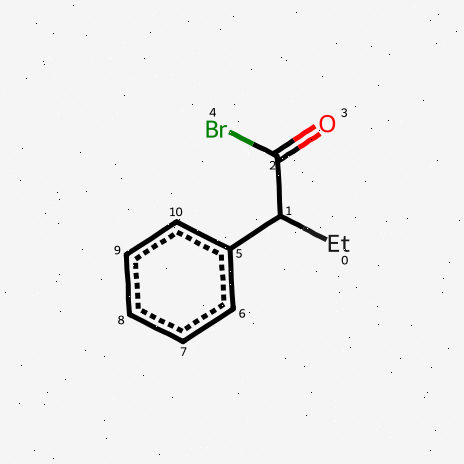 CCC(C(=O)Br)c1ccccc1